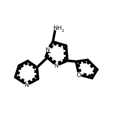 Nc1cc(-c2ccco2)nc(-c2cccnc2)n1